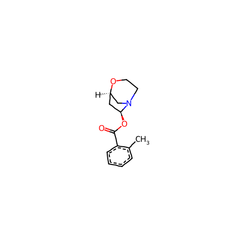 Cc1ccccc1C(=O)O[C@H]1C[C@@H]2CN1CCO2